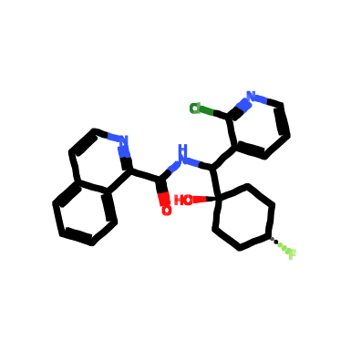 O=C(NC(c1cccnc1Cl)[C@]1(O)CC[C@H](F)CC1)c1nccc2ccccc12